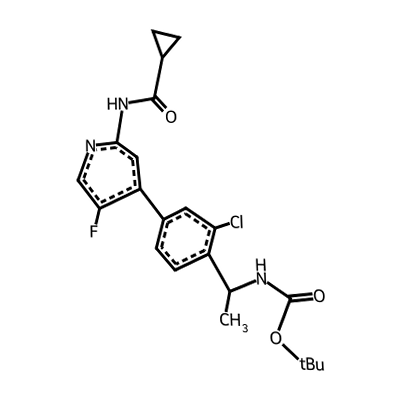 CC(NC(=O)OC(C)(C)C)c1ccc(-c2cc(NC(=O)C3CC3)ncc2F)cc1Cl